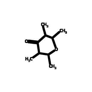 CC1OC(C)C(C)C(=O)C1C